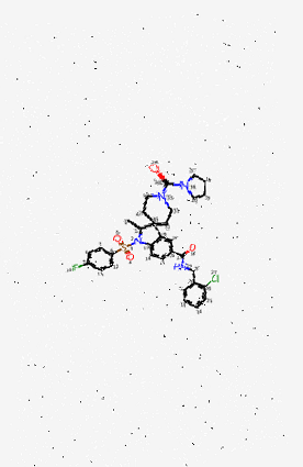 CC1N(S(=O)(=O)c2ccc(F)cc2)c2ccc(C(=O)NCc3ccccc3Cl)cc2C12CCN(C(=O)N1CCCC1)CC2